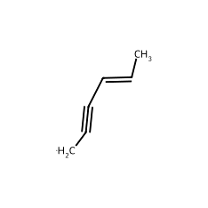 [CH2]C#C/C=C/C